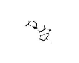 Cc1c(-c2ccc(O)c(Cl)c2)oc2ccc(O)cc2c1=O